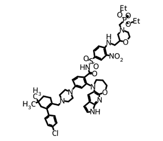 CCOP(=O)(CN1CCOC(CNc2ccc(S(=O)(=O)NC(=O)c3ccc(N4CCN(CC5=C(c6ccc(Cl)cc6)CC(C)(C)CC5)CC4)cc3N3CCCOc4nc5[nH]ccc5cc43)cc2[N+](=O)[O-])C1)OCC